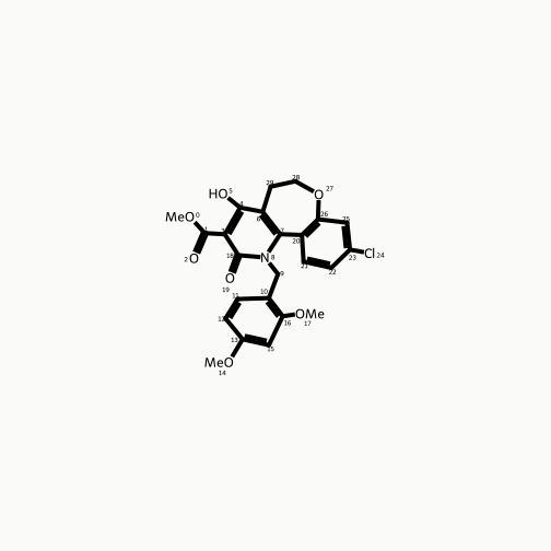 COC(=O)c1c(O)c2c(n(Cc3ccc(OC)cc3OC)c1=O)-c1ccc(Cl)cc1OCC2